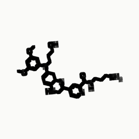 COc1cc(OC)cc(N(CCCO)C2=CC=C3NCC(c4ccnc(C(=O)NCCCN)c4)=NC3C2)c1